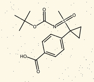 CC(C)(C)OC(=O)N=S(C)(=O)C1(c2ccc(C(=O)O)cc2)CC1